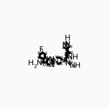 C[C@](N)(c1ccc(F)cc1)c1cnc(N2CCN(/C(=N/C=N)c3cc(-c4cn[nH]c4)c[nH]3)CC2)nc1